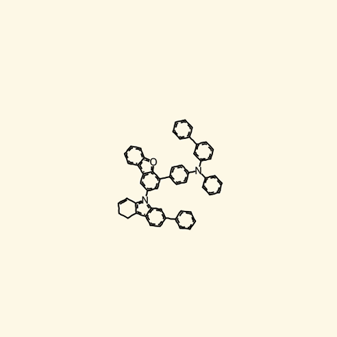 C1=Cc2c(c3ccc(-c4ccccc4)cc3n2-c2cc(-c3ccc(N(c4ccccc4)c4cccc(-c5ccccc5)c4)cc3)c3oc4ccccc4c3c2)CC1